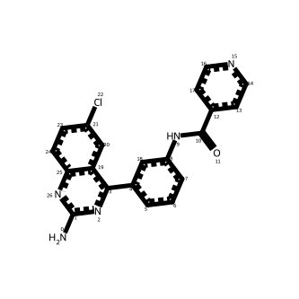 Nc1nc(-c2cccc(NC(=O)c3ccncc3)c2)c2cc(Cl)ccc2n1